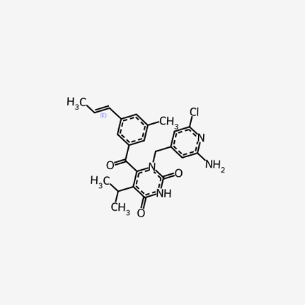 C/C=C/c1cc(C)cc(C(=O)c2c(C(C)C)c(=O)[nH]c(=O)n2Cc2cc(N)nc(Cl)c2)c1